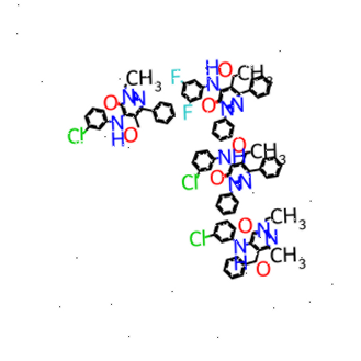 CC(=O)c1c(-c2ccccc2)nn(-c2ccccc2)c(=O)c1Nc1cc(F)cc(F)c1.CC(=O)c1c(-c2ccccc2)nn(-c2ccccc2)c(=O)c1Nc1cccc(Cl)c1.CCn1nc(-c2ccccc2)c(C=O)c(Nc2cccc(Cl)c2)c1=O.CCn1nc(C)c(C(=O)c2ccccc2)c(Nc2cccc(Cl)c2)c1=O